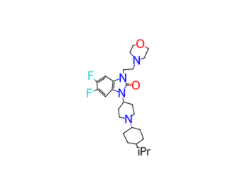 CC(C)[C@H]1CC[C@H](N2CCC(n3c(=O)n(CCN4CCOCC4)c4cc(F)c(F)cc43)CC2)CC1